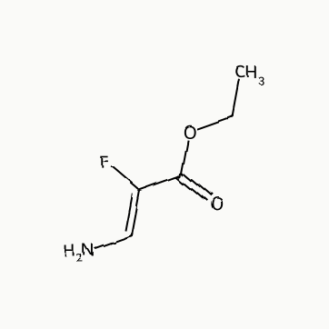 CCOC(=O)/C(F)=C/N